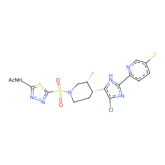 CC(=O)Nc1nnc(S(=O)(=O)N2CC[C@@H](c3[nH]c(-c4ccc(F)cn4)nc3Cl)[C@@H](C)C2)s1